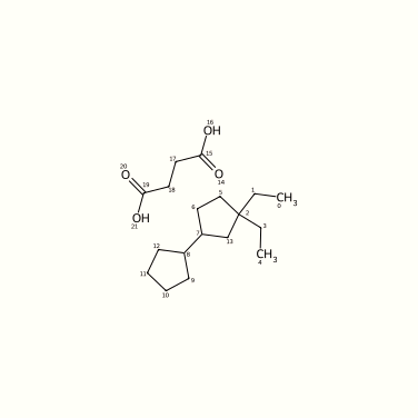 CCC1(CC)CCC(C2CCCC2)C1.O=C(O)CCC(=O)O